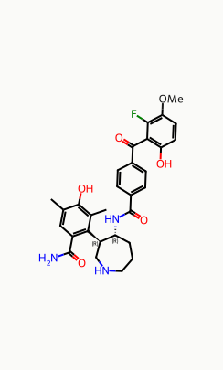 COc1ccc(O)c(C(=O)c2ccc(C(=O)N[C@@H]3CCCNC[C@H]3c3c(C(N)=O)cc(C)c(O)c3C)cc2)c1F